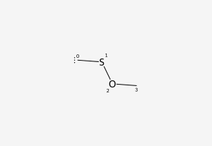 [C]SOC